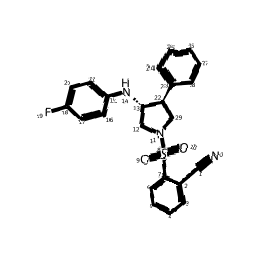 N#Cc1ccccc1S(=O)(=O)N1C[C@H](Nc2ccc(F)cc2)[C@@H](c2ccccc2)C1